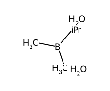 CB(C)C(C)C.O.O